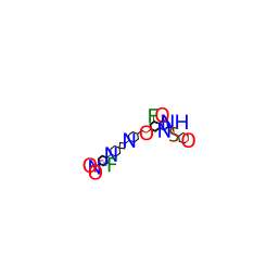 O=c1[nH]c(CSC2CCOCC2)nc2cc(OCC3CCN(C4CC5(CCN(c6ccc([N+](=O)[O-])cc6F)CC5)C4)CC3)cc(F)c12